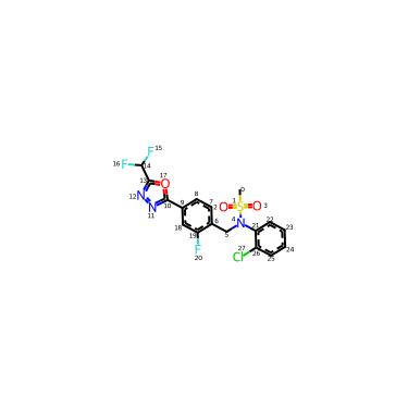 CS(=O)(=O)N(Cc1ccc(-c2nnc(C(F)F)o2)cc1F)c1ccccc1Cl